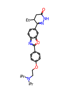 CCC1CC(=O)NN=C1c1ccc2nc(-c3ccc(OCCN(C(C)C)C(C)C)cc3)oc2c1